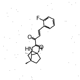 C[C@]1(NC(=O)C(=O)/C=C/c2ccccc2F)[C@H]2CC[C@]1(C)CC2